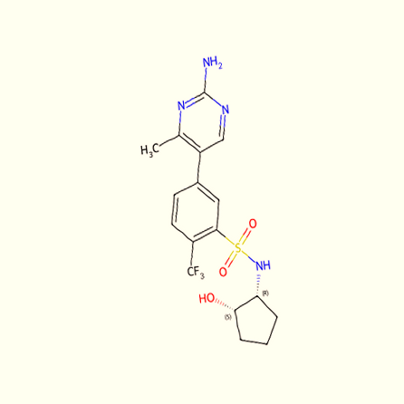 Cc1nc(N)ncc1-c1ccc(C(F)(F)F)c(S(=O)(=O)N[C@@H]2CCC[C@@H]2O)c1